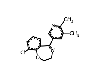 Cc1cc(C2=NCCOc3c(Cl)cccc32)cnc1C